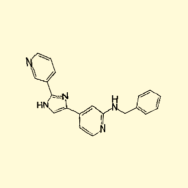 c1ccc(CNc2cc(-c3c[nH]c(-c4cccnc4)n3)ccn2)cc1